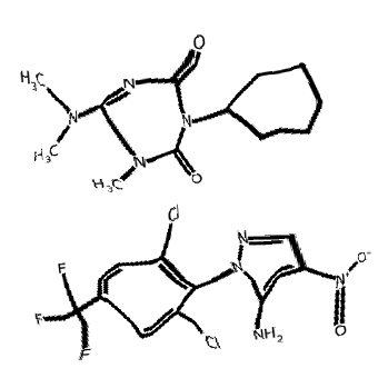 CN(C)c1nc(=O)n(C2CCCCC2)c(=O)n1C.Nc1c([N+](=O)[O-])cnn1-c1c(Cl)cc(C(F)(F)F)cc1Cl